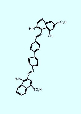 Nc1ccc2cc(S(=O)(=O)O)cc(O)c2c1N=Nc1ccc(-c2ccc(N=Nc3cc(S(=O)(=O)O)c4ccccc4c3N)cc2)cc1